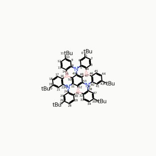 CC(C)(C)c1ccc2c(c1)N1c3cc(C(C)(C)C)ccc3B3c4ccc(C(C)(C)C)cc4N4c5cc(C(C)(C)C)ccc5B5c6ccc(C(C)(C)C)cc6N6c7cc(C(C)(C)C)ccc7B2c2c1c3c4c5c26